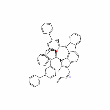 C=C/C=C\c1c(C)n(-c2ccccc2-c2cccc(-c3ccccc3)c2)c2c1ccc1c3ccccc3n(-c3nc(-c4ccccc4)nc(-c4ccccc4)n3)c12